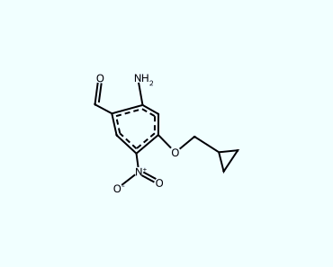 Nc1cc(OCC2CC2)c([N+](=O)[O-])cc1C=O